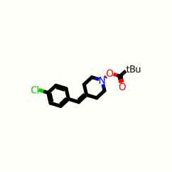 CC(C)(C)C(=O)ON1CCC(=Cc2ccc(Cl)cc2)CC1